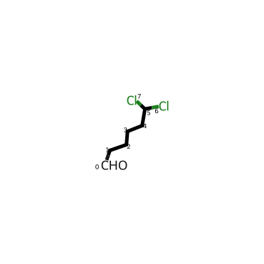 O=CCCCCC(Cl)Cl